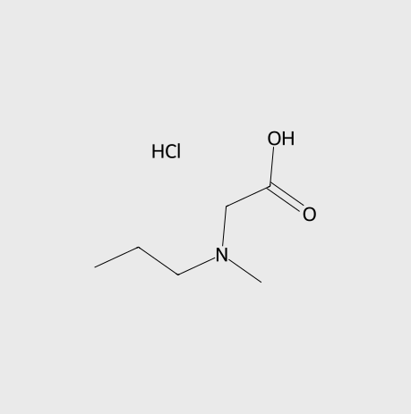 CCCN(C)CC(=O)O.Cl